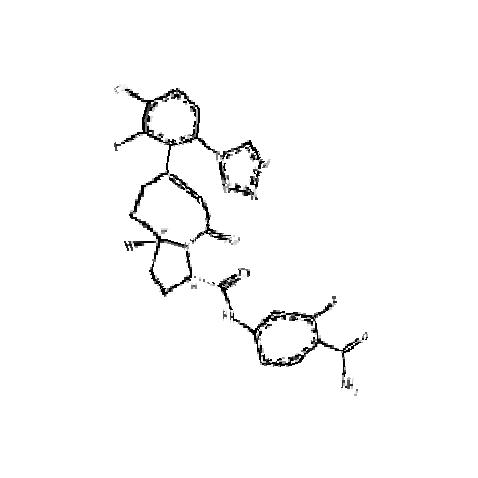 NC(=O)c1ccc(NC(=O)[C@@H]2CC[C@@H]3CCC(c4c(-n5cnnn5)ccc(Cl)c4F)=CC(=O)N32)cc1F